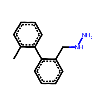 Cc1ccccc1-c1ccccc1CNN